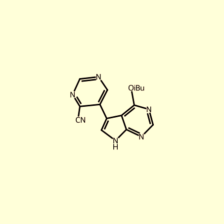 CC(C)COc1ncnc2[nH]cc(-c3cncnc3C#N)c12